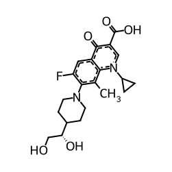 Cc1c(N2CCC([C@H](O)CO)CC2)c(F)cc2c(=O)c(C(=O)O)cn(C3CC3)c12